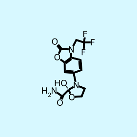 NC(=O)[C@]1(O)OCCN1c1ccc2c(c1)oc(=O)n2CC(F)(F)F